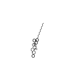 CCCCCCCCCCCCOC(=O)O[C@H]1CCC2C3CCC4=CC(=O)CCC4=C3[C@@H](C)C[C@@]21C